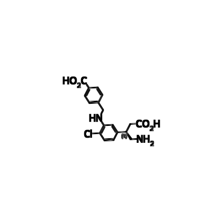 NC[C@H](CC(=O)O)c1ccc(Cl)c(NCc2ccc(C(=O)O)cc2)c1